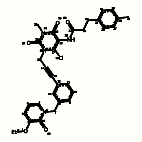 CCOc1cccn(Cc2cccc(C#CCn3c(Cl)c(NC(=O)CCc4ccc(C)cc4)c(=O)n(C)c3=O)c2)c1=O